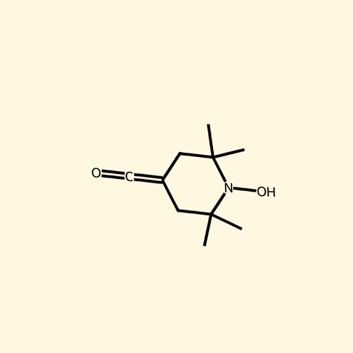 CC1(C)CC(=C=O)CC(C)(C)N1O